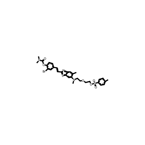 Cc1ccc(S(=O)(=O)OCCOCCN(C)c2cc3sc(C=Cc4ccc(OC(=O)N(C)C)c(Br)c4)nc3cc2C)cc1